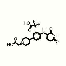 O=C(O)C(F)(F)F.O=C(O)CN1CCC(c2ccc(NC3CCC(=O)NC3=O)cc2)CC1